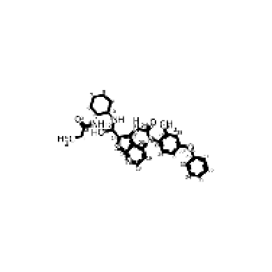 CCC(=O)N[C@@H]1CCCC[C@H]1NC(O)c1sc2nccc3c2c1NC(=O)N3c1ccc(Oc2ccccc2)cc1C